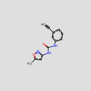 C#Cc1cccc(NC(=O)Nc2cc(C)on2)c1